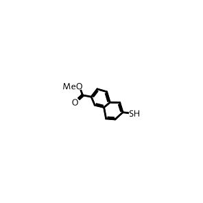 COC(=O)c1ccc2cc(S)ccc2c1